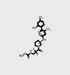 Cc1cc(N[C@@H]2CCCN(C(=O)C(F)(F)CNC(=O)OC(C)(C)C)C2)nnc1-c1ccc(C(F)(F)F)cc1O